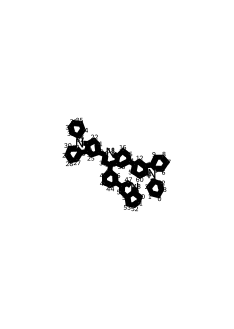 c1ccc(-n2c3ccccc3c3cc(-c4ccc5nc(-c6ccc7c(c6)c6ccccc6n7-c6ccccc6)cc(-c6cccc(-c7cnc8ccccc8c7)c6)c5c4)ccc32)cc1